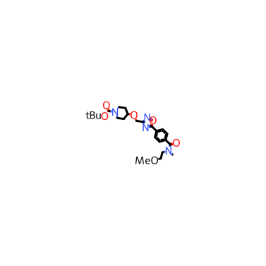 COCCN(C)C(=O)c1ccc(-c2nc(COC3CCN(C(=O)OC(C)(C)C)CC3)no2)cc1